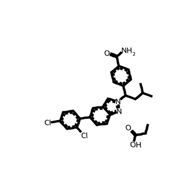 CC(C)CC(c1ccc(C(N)=O)cc1)n1cc2cc(-c3ccc(Cl)cc3Cl)ccc2n1.CCC(=O)O